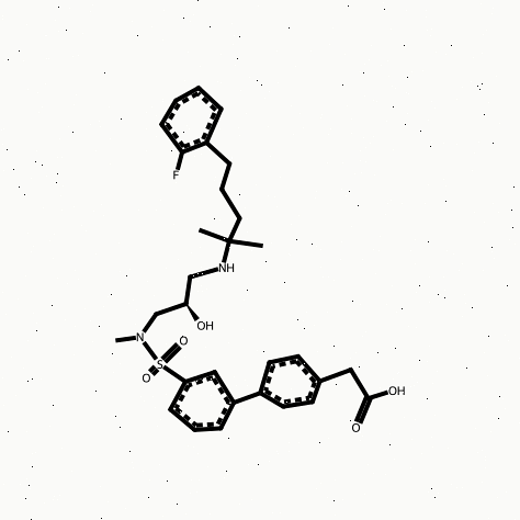 CN(C[C@H](O)CNC(C)(C)CCCc1ccccc1F)S(=O)(=O)c1cccc(-c2ccc(CC(=O)O)cc2)c1